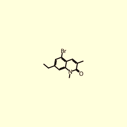 CCc1cc(Br)c2cc(C)c(=O)n(C)c2c1